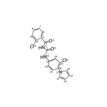 O=C(NC(=O)c1ccccc1Cl)Nc1ccc(-n2cccc2)c(Cl)c1